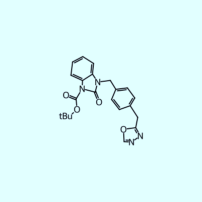 CC(C)(C)OC(=O)n1c(=O)n(Cc2ccc(Cc3nnco3)cc2)c2ccccc21